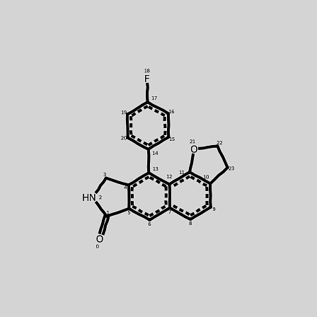 O=C1NCc2c1cc1ccc3c(c1c2-c1ccc(F)cc1)OCC3